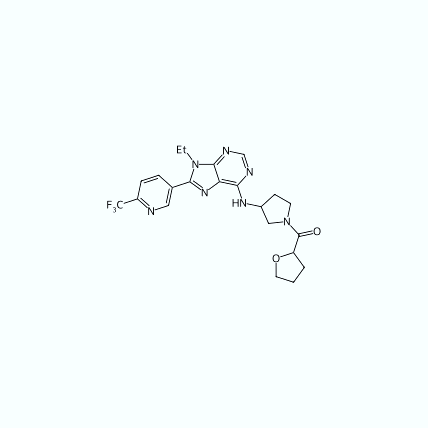 CCn1c(-c2ccc(C(F)(F)F)nc2)nc2c(NC3CCN(C(=O)C4CCCO4)C3)ncnc21